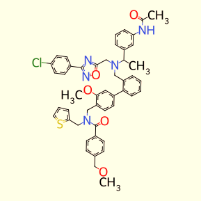 COCc1ccc(C(=O)N(Cc2cccs2)Cc2ccc(-c3ccccc3CN(Cc3nc(-c4ccc(Cl)cc4)no3)C(C)c3cccc(NC(C)=O)c3)cc2OC)cc1